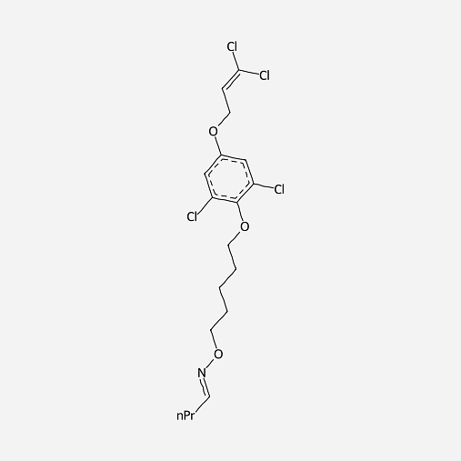 CCC/C=N/OCCCCCOc1c(Cl)cc(OCC=C(Cl)Cl)cc1Cl